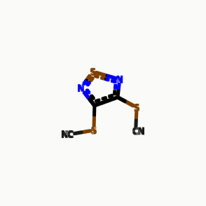 N#CSc1nsnc1SC#N